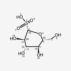 O=S(=O)(O)[C@@H]1O[C@H](CO)[C@@H](O)[C@H](O)[C@H]1O